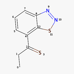 CCC(=S)c1cccc2nnsc12